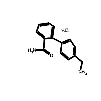 Cl.NCc1ccc(-c2ccccc2C(N)=O)cc1